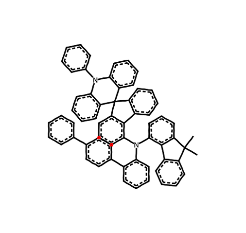 CC1(C)c2ccccc2-c2c(N(c3ccccc3-c3ccc(-c4ccccc4)cc3)c3cccc4c3-c3ccccc3C43c4ccccc4N(c4ccccc4)c4ccccc43)cccc21